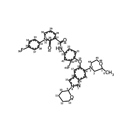 CC1CN(c2cc3nn(C4CCCCO4)cc3cc2Oc2ccc(NC(=O)c3cccn(-c4ccc(F)cc4)c3=O)cc2F)CCO1